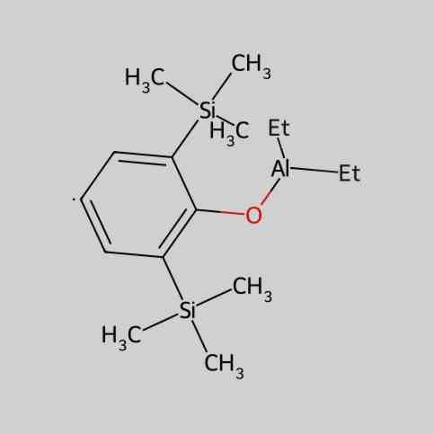 C[CH2][Al]([CH2]C)[O]c1c([Si](C)(C)C)c[c]cc1[Si](C)(C)C